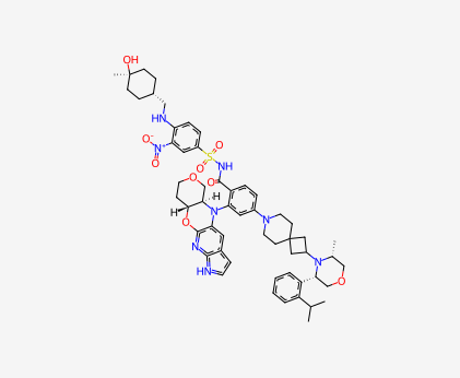 CC(C)c1ccccc1[C@H]1COC[C@@H](C)N1C1CC2(CCN(c3ccc(C(=O)NS(=O)(=O)c4ccc(NC[C@H]5CC[C@](C)(O)CC5)c([N+](=O)[O-])c4)c(N4c5cc6cc[nH]c6nc5O[C@@H]5CCOC[C@H]54)c3)CC2)C1